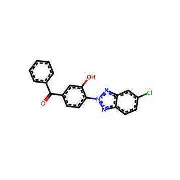 O=C(c1ccccc1)c1ccc(-n2nc3ccc(Cl)cc3n2)c(O)c1